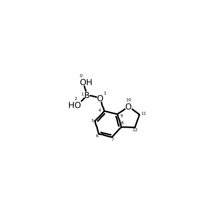 OB(O)Oc1cccc2c1OCC2